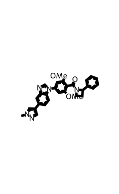 COc1cc(-n2cnc3cc(-c4cnn(C)c4)ccc32)cc(OC)c1C(=O)N1CCC1c1ccccc1